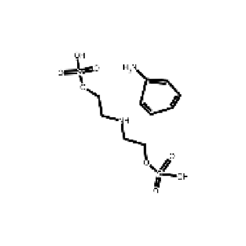 Nc1ccccc1.O=S(=O)(O)OCCNCCOS(=O)(=O)O